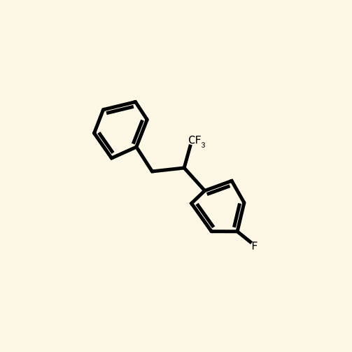 Fc1ccc(C(Cc2ccccc2)C(F)(F)F)cc1